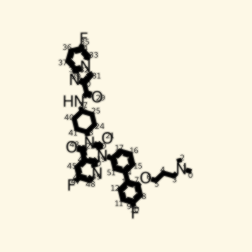 CN(C)CCCOc1cc(F)ccc1-c1cccc(-n2c(=O)n(C3CCC(NC(=O)c4cn5cc(F)ccc5n4)CC3)c(=O)c3cc(F)cnc32)c1